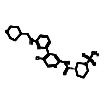 CS(=O)(=O)N1CCC[C@H](C(=O)Nc2cc(-c3cccc(NCC4CCOCC4)n3)c(Cl)cn2)C1